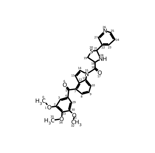 COc1cc(C(=O)c2cccc3c2ccn3C(=O)C2CSC(c3cccnc3)N2)cc(OC)c1OC